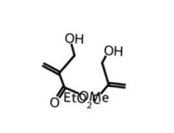 C=C(CO)C(=O)OC.C=C(CO)C(=O)OCC